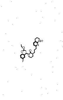 CCOC(=O)C[C@@H](c1cccc(F)c1)N1CCCC(CCCc2ccc3c(n2)NCCC3)C1=O